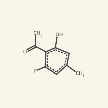 CC(=O)c1c(O)cc(C)cc1F